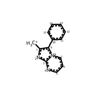 Cc1nc2ncccn2c1-c1ccccc1